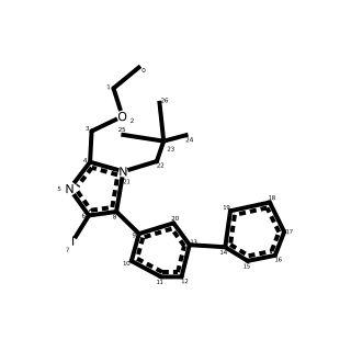 CCOCc1nc(I)c(-c2cccc(-c3ccccc3)c2)n1CC(C)(C)C